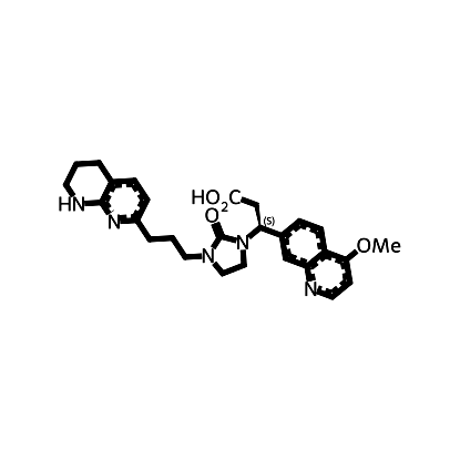 COc1ccnc2cc([C@H](CC(=O)O)N3CCN(CCCc4ccc5c(n4)NCCC5)C3=O)ccc12